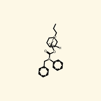 CCC[N+]12CCC(CC1)[C@@H](OC(=O)N(Cc1ccccc1)c1ccccc1)C2